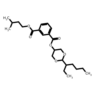 CCCCC(CC)C1OCC(OC(=O)c2cccc(C(=O)OCCC(C)C)c2)CO1